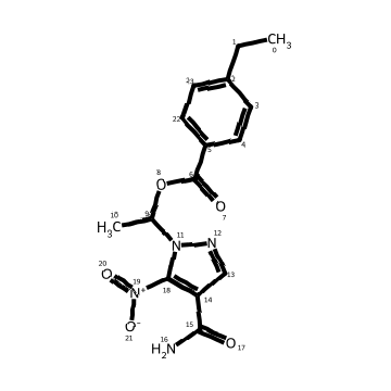 CCc1ccc(C(=O)OC(C)n2ncc(C(N)=O)c2[N+](=O)[O-])cc1